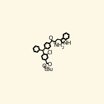 CC(C)(C)OC(=O)c1ccc([C](c2ccccc2)c2ccc(C(=O)[C@@H](N)Cc3c[nH]c4ccccc34)cc2)c(Cl)c1